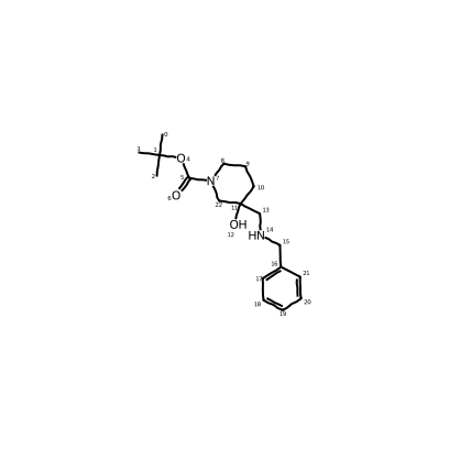 CC(C)(C)OC(=O)N1CCCC(O)(CNCc2ccccc2)C1